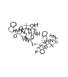 CN[C@@H](C)C(=O)NC(C(=O)N1Cc2ccccc2CC1C(=O)N(CC1CC1C(=O)N[C@H]1CC(C(=O)N[C@@H]2CCCc3ccccc32)N(C(=O)[C@@H](NC(O)[C@H](C)NC)C(C)(C)C)C1)[C@H](C)c1ccccc1F)C(C)(C)C